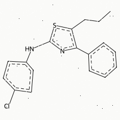 CCCc1sc(Nc2ccc(Cl)cc2)nc1-c1ccccc1